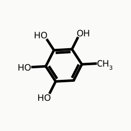 Cc1cc(O)c(O)c(O)c1O